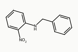 O=[N+]([O-])c1cc[c]cc1NCc1ccccc1